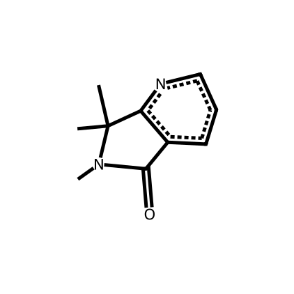 CN1C(=O)c2cccnc2C1(C)C